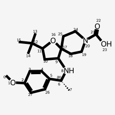 COc1ccc([C@@H](C)NC2CC(C(C)(C)C)OC23CCN(C(=O)O)CC3)cc1